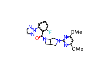 COc1cc(OC)nc(N2CC3CN(C(=O)c4c(F)cccc4-n4nccn4)C3C2)n1